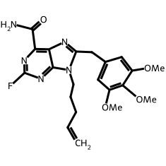 C=CCCCn1c(Cc2cc(OC)c(OC)c(OC)c2)nc2c(C(N)=O)nc(F)nc21